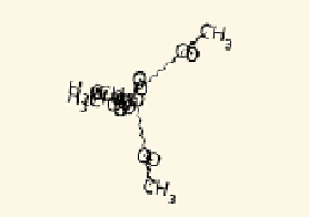 C/C=C/C=C/C(=O)OCCCCCCCCCC(=O)OC[C@H](COP(=O)([O-])OCC[N+](C)(C)C)OC(=O)CCCCCCCCCOC(=O)/C=C/C=C/C